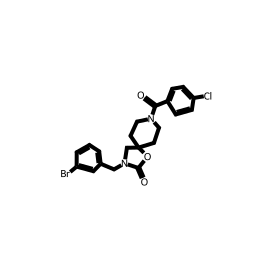 O=C1OC2(CCN(C(=O)c3ccc(Cl)cc3)CC2)CN1Cc1cccc(Br)c1